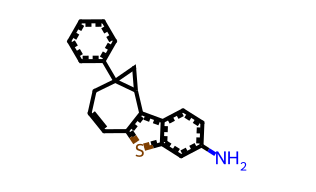 Nc1ccc2c3c(sc2c1)C=CCC1(c2ccccc2)CC31